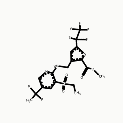 CCS(=O)(=O)c1cc(C(C)(F)F)cnc1NCc1cc(C(F)(F)C(F)(F)F)sc1C(=O)OC